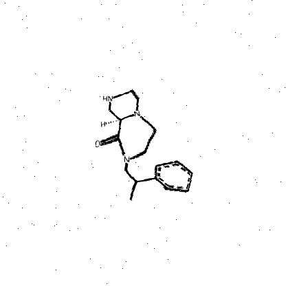 CC(CN1CCN2CCNC[C@@H]2C1=O)c1ccccc1